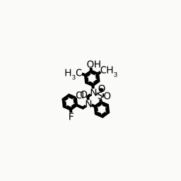 Cc1cc(N2C(=O)N(Cc3c(F)cccc3Cl)c3ccccc3S2(=O)=O)cc(C)c1O